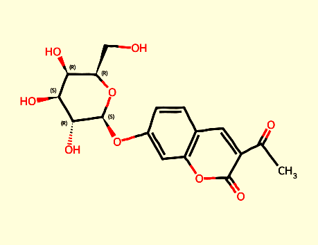 CC(=O)c1cc2ccc(O[C@@H]3O[C@H](CO)[C@H](O)[C@H](O)[C@H]3O)cc2oc1=O